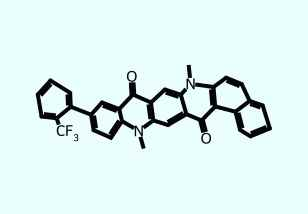 Cn1c2ccc(-c3ccccc3C(F)(F)F)cc2c(=O)c2cc3c(cc21)c(=O)c1c2ccccc2ccc1n3C